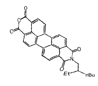 CCCCC(CC)CN1C(=O)c2ccc3c4ccc5c6c(ccc(c7ccc(c2c37)C1=O)c64)C(=O)OC5=O